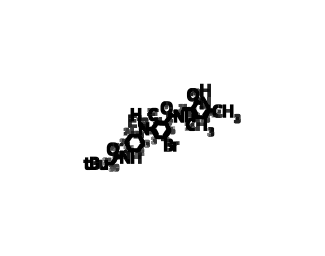 CCN(c1cc(Br)cc(C(=O)NCc2c(C)cc(C)[nH]c2=O)c1C)C1CCC(NC(=O)CC(C)(C)C)CC1